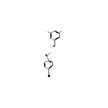 N#Cc1ccc(C(=O)N/N=C/c2cc(Br)cc(Br)c2O)cc1